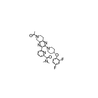 CC(=O)N1CCc2nc(N3CCC(Oc4ccc(F)cc4F)CC3)c(-c3cccc(C(=O)N(C)C)n3)nc2C1